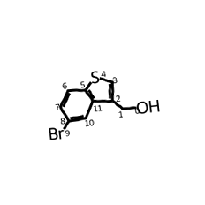 OCc1csc2ccc(Br)cc12